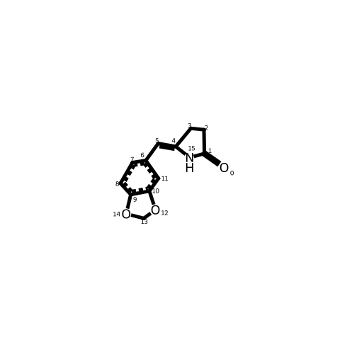 O=C1CCC(=Cc2ccc3c(c2)OCO3)N1